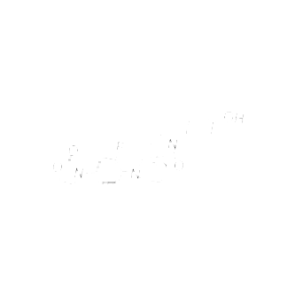 O=C1OCCN1c1ccc(N2CCC[C@]3(CCN(C4CCC(O)CC4)C3=O)C2)c(F)c1